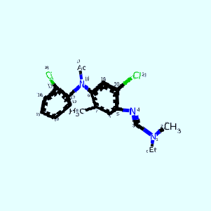 CCN(C)C=Nc1cc(C)c(N(C(C)=O)c2ccccc2Cl)cc1Cl